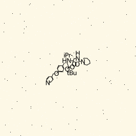 CC(C)C[C@H](NC(=O)N1CCCCCC1)C(=O)N[C@@H](Cc1ccc(OCc2ccncc2)cc1)C(=O)OC(C)(C)C